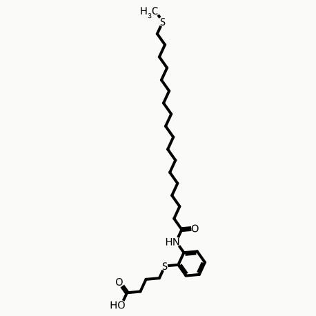 CSCCCCCCCCCCCCCCCCCC(=O)Nc1ccccc1SCCCC(=O)O